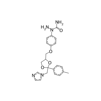 Cc1ccc(C2(Cn3ccnc3)OCC(COc3ccc(N(N)C(N)=O)cc3)O2)cc1